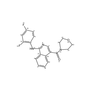 O=C(c1cnc(Nc2ccc(F)cc2F)c2ccccc12)N1CCOCC1